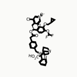 O=C(Cc1ccc(CNC(C(=O)O)(c2ccccc2)[C@H]2CN3CCC2CC3)cc1)O[C@@H](Cc1c(Cl)c[n+]([O-])cc1Cl)c1ccc(OC(F)F)c(OCC2CC2)c1